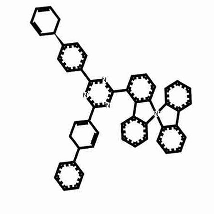 C1=CC[C@@H](c2ccc(-c3nc(C4=CCC(c5ccccc5)C=C4)nc(-c4cccc5c4-c4ccccc4[N+]54c5ccccc5-c5ccccc54)n3)cc2)C=C1